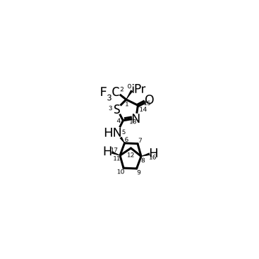 CC(C)[C@]1(C(F)(F)F)SC(N[C@H]2C[C@@H]3CC[C@H]2C3)=NC1=O